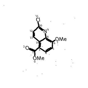 COC(=O)c1ccc(OC)c2nc(Cl)ccc12